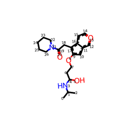 CC(C)NC(O)CCOc1cc2coccc-2c1CC(=O)N1CCCCC1